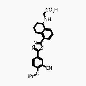 CC(C)Oc1ccc(-c2nnc(-c3cccc4c3CCC[C@@H]4NCC(=O)O)s2)cc1C#N